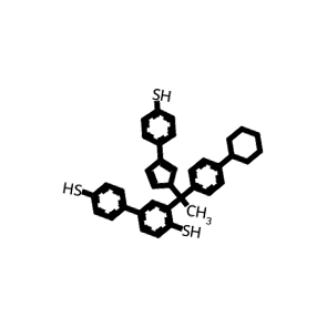 CC(c1ccc(C2CCCCC2)cc1)(c1cc(-c2ccc(S)cc2)ccc1S)C1C=CC(c2ccc(S)cc2)=C1